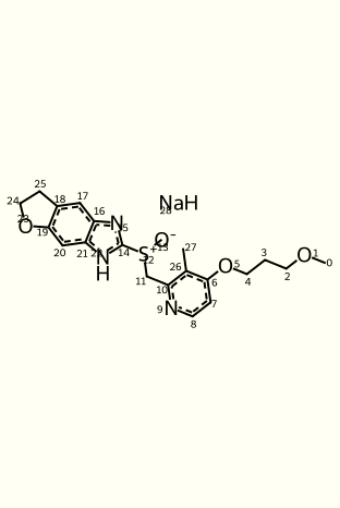 COCCCOc1ccnc(C[S+]([O-])c2nc3cc4c(cc3[nH]2)OCC4)c1C.[NaH]